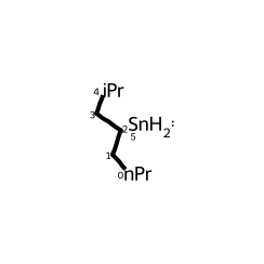 [CH2]CCCCCC(C)C.[SnH2]